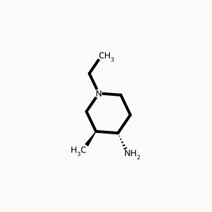 CCN1CC[C@H](N)[C@@H](C)C1